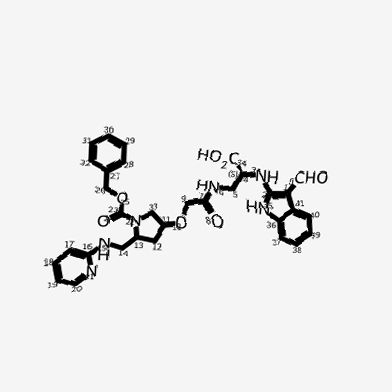 O=Cc1c(N[C@@H](CNC(=O)COC2CC(CNc3ccccn3)N(C(=O)OCc3ccccc3)C2)C(=O)O)[nH]c2ccccc12